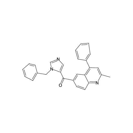 Cc1cc(-c2ccccc2)c2cc(C(=O)c3cncn3Cc3ccccc3)ccc2n1